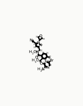 C[C@@H](Oc1nc(Br)cnc1N)c1cc(F)ccc1C(=O)N(C)Cc1cc(C#N)n(C2COC2)n1